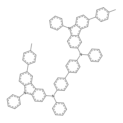 Cc1ccc(-c2ccc3c(c2)c2cc(N(c4ccccc4)c4ccc(-c5ccc(N(c6ccccc6)c6ccc7c(c6)c6cc(-c8ccc(C)cc8)ccc6n7-c6ccccc6)cc5)cc4)ccc2n3-c2ccccc2)cc1